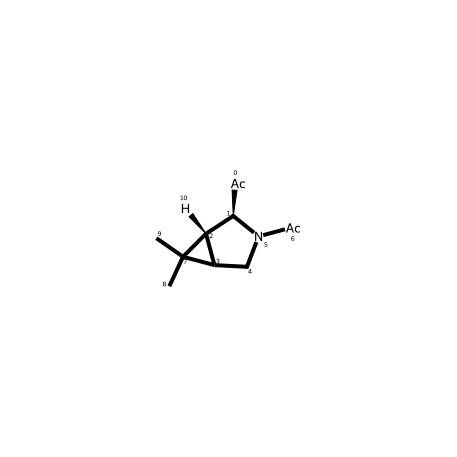 CC(=O)[C@@H]1[C@@H]2C(CN1C(C)=O)C2(C)C